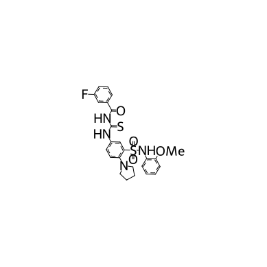 COc1ccccc1NS(=O)(=O)c1cc(NC(=S)NC(=O)c2cccc(F)c2)ccc1N1CCCC1